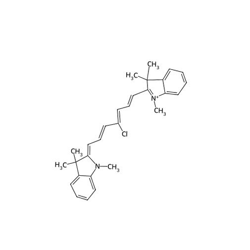 CN1C(=CC=CC(Cl)=CC=CC2=[N+](C)c3ccccc3C2(C)C)C(C)(C)c2ccccc21